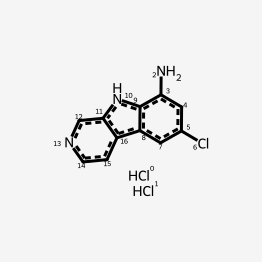 Cl.Cl.Nc1cc(Cl)cc2c1[nH]c1cnccc12